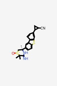 CC1(C)C(=N)N[C@](C)(c2ccc3sc4cc(C5CC5C#N)ccc4c3c2)C[S+]1[O-]